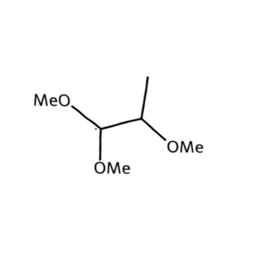 CO[C](OC)C(C)OC